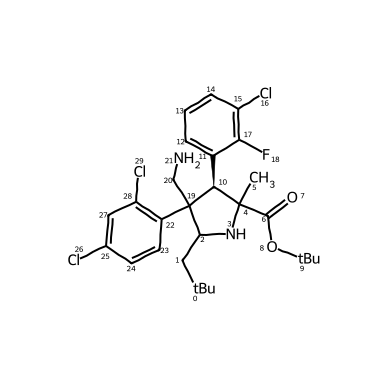 CC(C)(C)CC1NC(C)(C(=O)OC(C)(C)C)[C@H](c2cccc(Cl)c2F)C1(CN)c1ccc(Cl)cc1Cl